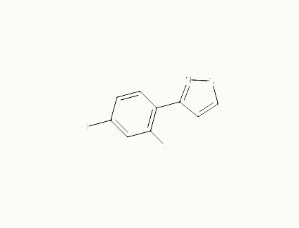 Clc1ccc(C2=N[N]C=C2)c(Cl)c1